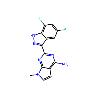 Cn1ccc2c(N)nc(-c3n[nH]c4c(F)cc(F)cc34)nc21